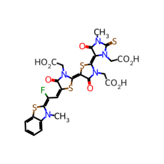 CN1C(=O)/C(=c2\s/c(=c3/sc(=C/C(F)=C4/Sc5ccccc5N4C)c(=O)n3CC(=O)O)c(=O)n2CC(=O)O)N(CC(=O)O)C1=S